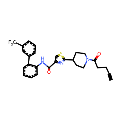 C#CCCC(=O)N1CCC(c2nc(C(=O)Nc3ccccc3-c3cccc(C(F)(F)F)c3)cs2)CC1